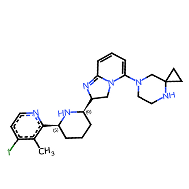 Cc1c(Cl)ccnc1[C@@H]1CCC[C@H](C2CN3C(N4CCNC5(CC5)C4)=CC=CC3=N2)N1